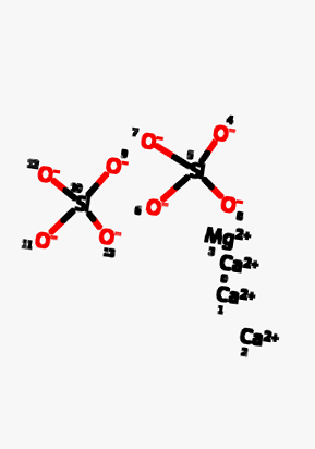 [Ca+2].[Ca+2].[Ca+2].[Mg+2].[O-][Si]([O-])([O-])[O-].[O-][Si]([O-])([O-])[O-]